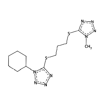 Cn1nnnc1SCCCSc1nnnn1C1CCCCC1